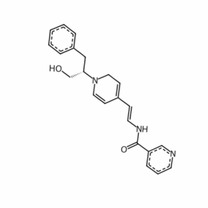 O=C(NC=CC1=CCN([C@H](CO)Cc2ccccc2)C=C1)c1cccnc1